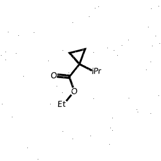 CCOC(=O)C1(C(C)C)CC1